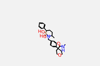 CNC(=O)C1(c2ccc(CN3C(C)CCC(c4ccccc4)S3(O)O)cc2)CCOCC1